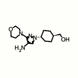 Nc1cn([C@H]2CC[C@H](CO)CC2)nc1N1CCOCC1